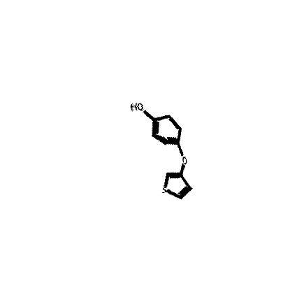 Oc1ccc(Oc2ccsc2)cc1